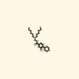 CCCCCCN(CCCCCC)CCC(=O)c1ccc(C2CCCCC2)c(Cl)c1